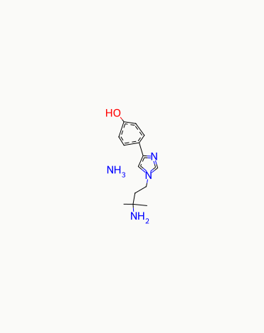 CC(C)(N)CCn1cnc(-c2ccc(O)cc2)c1.N